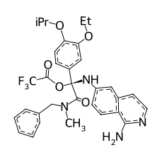 CCOc1cc([C@@](Nc2ccc3c(N)nccc3c2)(OC(=O)C(F)(F)F)C(=O)N(C)Cc2ccccc2)ccc1OC(C)C